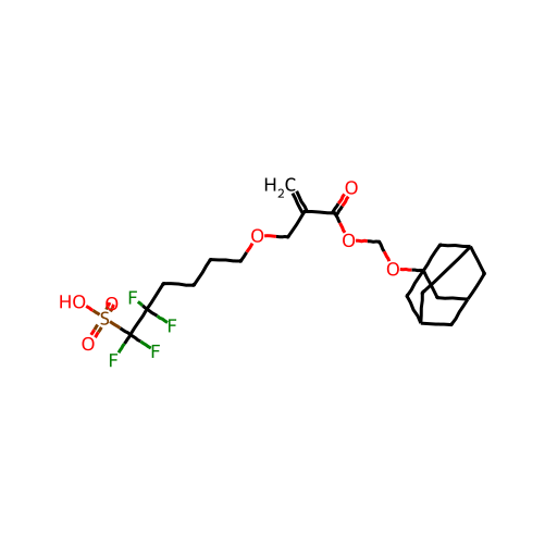 C=C(COCCCCC(F)(F)C(F)(F)S(=O)(=O)O)C(=O)OCOC12CC3CC(CC(C3)C1)C2